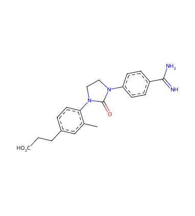 Cc1cc(CCC(=O)O)ccc1N1CCN(c2ccc(C(=N)N)cc2)C1=O